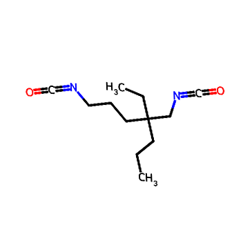 CCCC(CC)(CCCN=C=O)CN=C=O